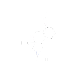 CCOc1cccc2c1COC1(C)CN(C(=O)O)CC21